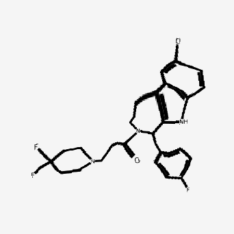 O=C(CCN1CCC(F)(F)CC1)N1CCc2c([nH]c3ccc(Cl)cc23)C1c1ccc(F)cc1